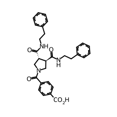 O=C(O)c1ccc(C(=O)N2C[C@H](C(=O)NCCc3ccccc3)[C@@H](C(=O)NCCc3ccccc3)C2)cc1